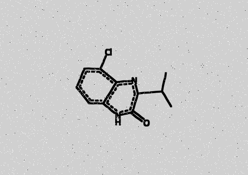 CC(C)c1nc2c(Cl)cccc2[nH]c1=O